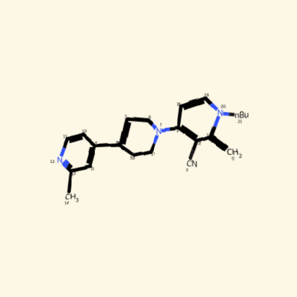 C=C1C(C#N)=C(N2CC=C(c3ccnc(C)c3)CC2)C=CN1CCCC